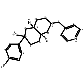 OC1(c2ccc(F)cc2)CC[C@H]2CN(Cc3ccncc3)CC[C@H]2C1